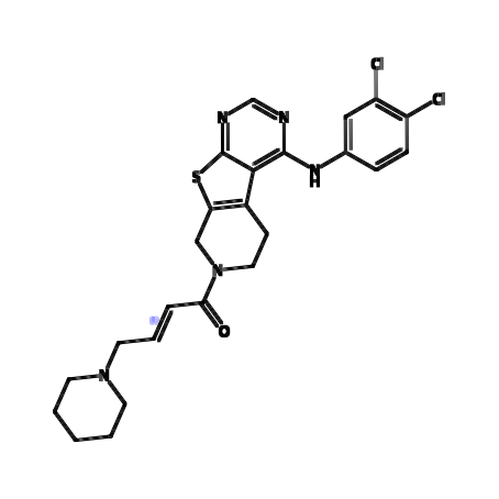 O=C(/C=C/CN1CCCCC1)N1CCc2c(sc3ncnc(Nc4ccc(Cl)c(Cl)c4)c23)C1